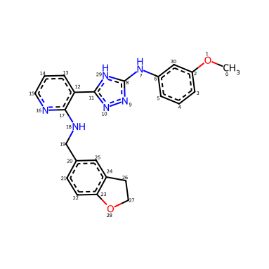 COc1cccc(Nc2nnc(-c3cccnc3NCc3ccc4c(c3)CCO4)[nH]2)c1